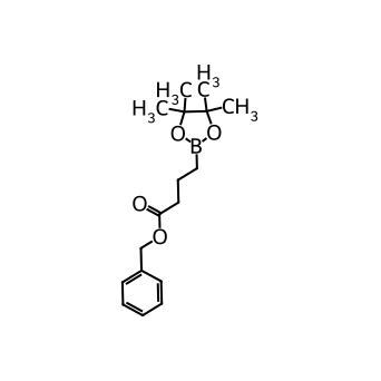 CC1(C)OB(CCCC(=O)OCc2ccccc2)OC1(C)C